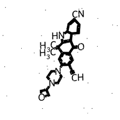 C#Cc1cc2c(cc1N1CCN(C3COC3)CC1)C(C)(C)C1=C(C2=O)C2C=CC(C#N)=CC2N1